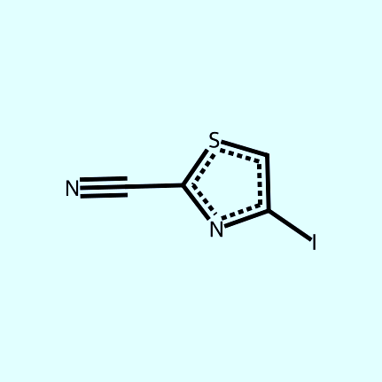 N#Cc1nc(I)cs1